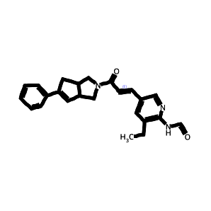 CCc1cc(/C=C/C(=O)N2CC3C=C(c4ccccc4)CC3C2)cnc1NC=O